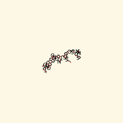 CCCCSC(=S)SC(CC(CC(C)(C)C#N)c1ccc(CN2C(=O)c3ccc4c5ccc6c7c(ccc(c8ccc(c3c48)C2=O)c75)C(=O)N(c2cc(C(C)(C)C)ccc2C(C)(C)C)C6=O)cc1)c1ccc(COCc2ccc(-c3ccc(-c4cccs4)c4nsnc34)s2)cc1